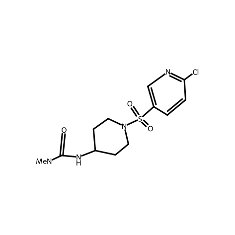 CNC(=O)NC1CCN(S(=O)(=O)c2ccc(Cl)nc2)CC1